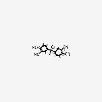 CC(c1ccc(C#N)c(C#N)c1)(c1ccc(C#N)c(C#N)c1)C(F)(F)F